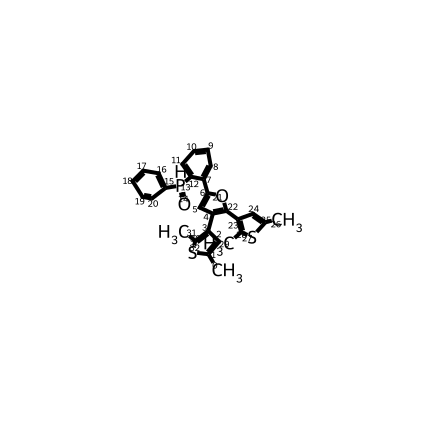 Cc1cc(-c2cc(-c3ccccc3[PH](=O)c3ccccc3)oc2-c2cc(C)sc2C)c(C)s1